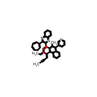 CC#C/C=C(\C=C/Cc1nc2ccccc2nc1C1=CCC=CC=C1)c1c(/C=C\C=C/C)c(C)c(-c2cccnc2)c2ccccc12